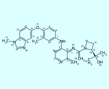 C=C1N=CN=C(Nc2ccc(Oc3ccc4c(c3)ncn4C)c(C)c2)/C1=N/C(=C)N1CC[C@H]1C(C)(C)O